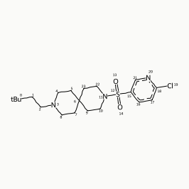 CC(C)(C)CCN1CCC2(CC1)CCN(S(=O)(=O)c1ccc(Cl)nc1)CC2